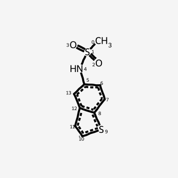 CS(=O)(=O)Nc1ccc2s[c]cc2c1